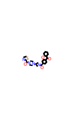 O=C(c1ccc2c(=O)c3ccccc3oc2c1)N1CC(N2CCN(C(=O)c3nccs3)CC2)C1